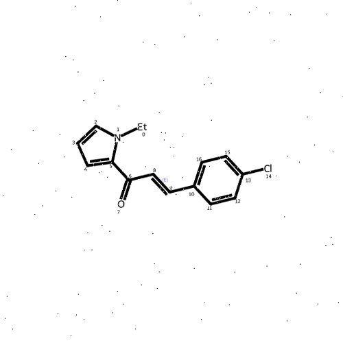 CCn1cccc1C(=O)/C=C/c1ccc(Cl)cc1